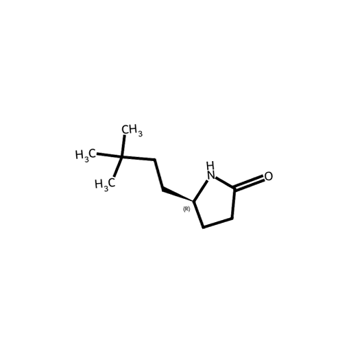 CC(C)(C)CC[C@@H]1CCC(=O)N1